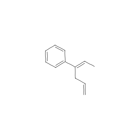 C=CCC(=CC)c1ccccc1